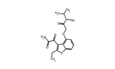 CCc1sc2cccc(OCC(=O)N(O)C(C)C)c2c1C(=O)C(N)=O